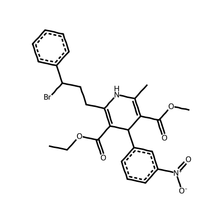 CCOC(=O)C1=C(CCC(Br)c2ccccc2)NC(C)=C(C(=O)OC)C1c1cccc([N+](=O)[O-])c1